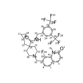 Cn1c(=O)ccc2ccc(CN3CCC(CC4CC4)(C(=O)NCc4cc(C(F)(F)F)cc(C(F)(F)F)c4)CC3)c(F)c21